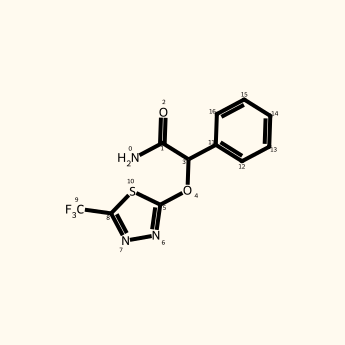 NC(=O)C(Oc1nnc(C(F)(F)F)s1)c1ccccc1